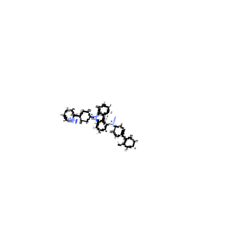 CC1=C(C2=CCC(Nc3cccc4c3c3ccccc3n4C3CC=C(C4CCC=CN4)CC3)CC2)CCC=C1